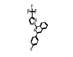 Fc1ccc(-c2cc3ccccc3c(-n3ccc(C(F)(F)F)n3)n2)cc1